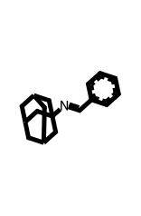 C(=NC12CC3CC(CC(C3)C1)C2)c1ccccc1